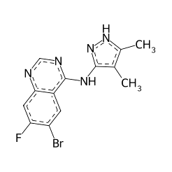 Cc1[nH]nc(Nc2ncnc3cc(F)c(Br)cc23)c1C